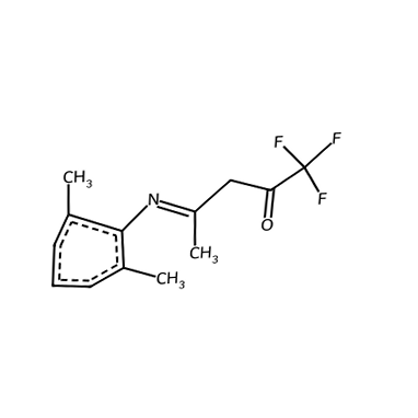 C/C(CC(=O)C(F)(F)F)=N\c1c(C)cccc1C